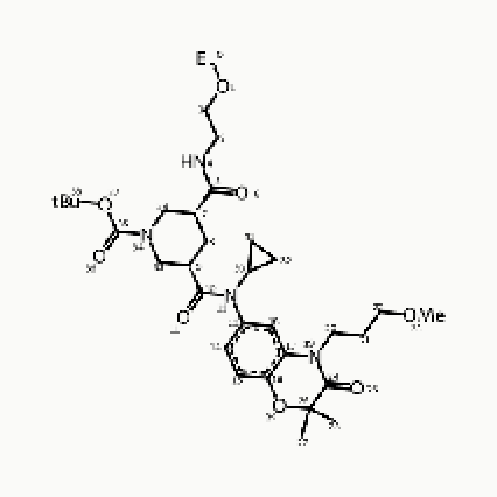 CCOCCNC(=O)[C@H]1C[C@@H](C(=O)N(c2ccc3c(c2)N(CCCOC)C(=O)C(C)(C)O3)C2CC2)CN(C(=O)OC(C)(C)C)C1